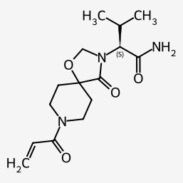 C=CC(=O)N1CCC2(CC1)OCN([C@H](C(N)=O)C(C)C)C2=O